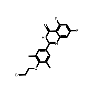 Cc1cc(-c2nc3cc(F)cc(F)c3c(=O)[nH]2)cc(C)c1OCCBr